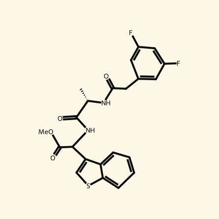 COC(=O)C(NC(=O)[C@H](C)NC(=O)Cc1cc(F)cc(F)c1)c1csc2ccccc12